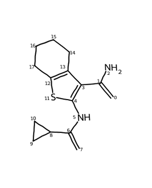 C=C(N)c1c(NC(=C)C2CC2)sc2c1CCCC2